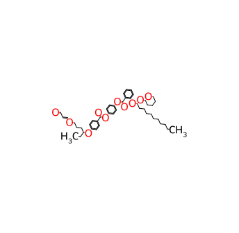 CCCCCCCCCCC(Oc1ccccc1C(=O)Oc1ccc(OC(=O)c2ccc(OC(CC)CCCOC=CC=O)cc2)cc1)OC1CCCCO1